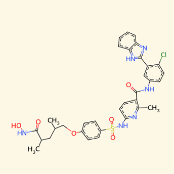 Cc1nc(NS(=O)(=O)c2ccc(OCC(C)CC(C)C(=O)NO)cc2)ccc1C(=O)Nc1ccc(Cl)c(-c2nc3ccccc3[nH]2)c1